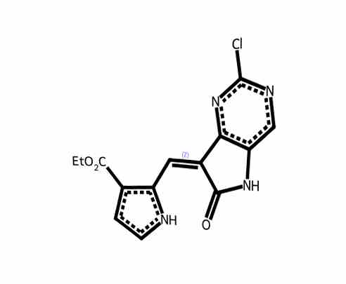 CCOC(=O)c1cc[nH]c1/C=C1\C(=O)Nc2cnc(Cl)nc21